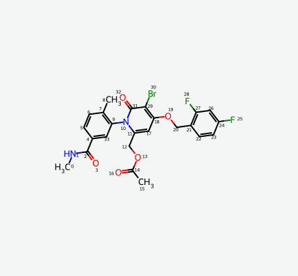 CNC(=O)c1ccc(C)c(-n2c(COC(C)=O)cc(OCc3ccc(F)cc3F)c(Br)c2=O)c1